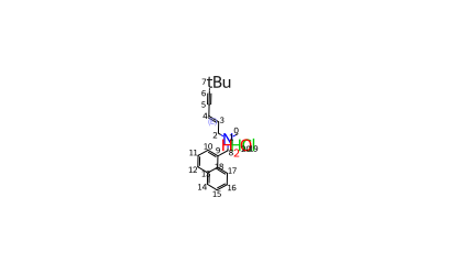 CN(C/C=C/C#CC(C)(C)C)Cc1cccc2ccccc12.Cl.O